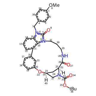 COc1ccc(Cn2c(=O)n3c4c(cccc42)-c2cccc(c2)O[C@H]2C[C@@H](C(=O)NCCC3)N(C(=O)OC(C)(C)C)C2)cc1